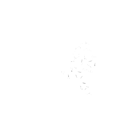 CCN(CC)C[C@]12CC1N(C(=O)Cn1nc(C(C)=O)c3cc(-c4cnc(C)nc4)cc(C)c31)[C@H](C(=O)Nc1nc(Br)ccc1C)C2